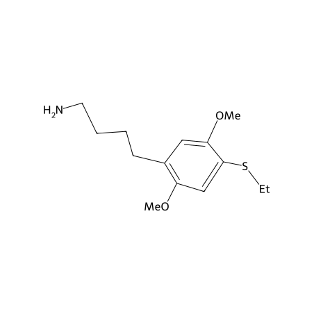 CCSc1cc(OC)c(CCCCN)cc1OC